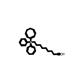 C#CCCCCCCCC[PH](C1=CC=CCC=C1)(C1=C/C=C\CC/C=C\1)c1ccccc1